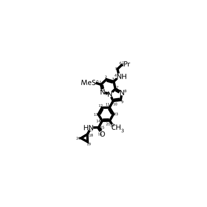 CSc1cc(NCC(C)C)c2ncc(-c3ccc(C(=O)NC4CC4)c(C)c3)n2n1